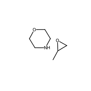 C1COCCN1.CC1CO1